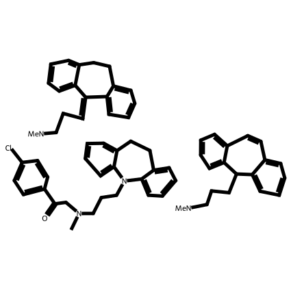 CN(CCCN1c2ccccc2CCc2ccccc21)CC(=O)c1ccc(Cl)cc1.CNCCC=C1c2ccccc2CCc2ccccc21.CNCCCC1c2ccccc2C=Cc2ccccc21